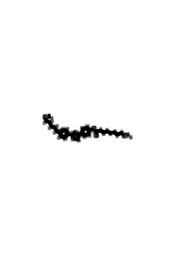 CCCCCCCCC(=O)Oc1ccc(-c2cnc(-c3ccc(CCCCCC)cc3)s2)cc1